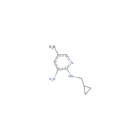 Nc1cc([N+](=O)[O-])cnc1NCC1CC1